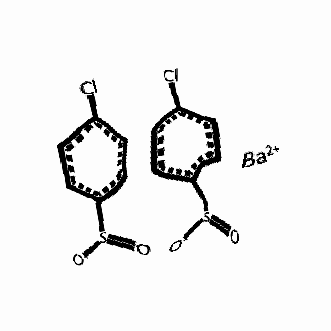 O=S([O-])c1ccc(Cl)cc1.O=S([O-])c1ccc(Cl)cc1.[Ba+2]